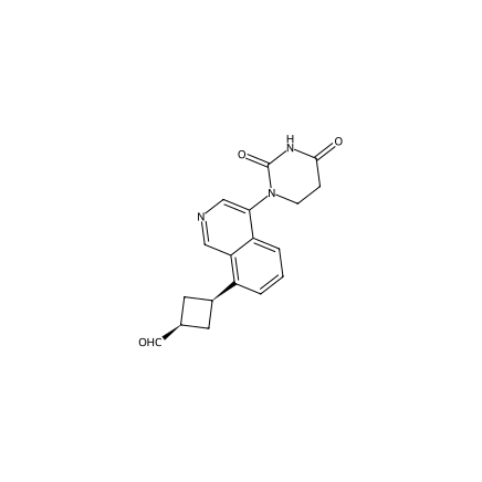 O=C[C@H]1C[C@@H](c2cccc3c(N4CCC(=O)NC4=O)cncc32)C1